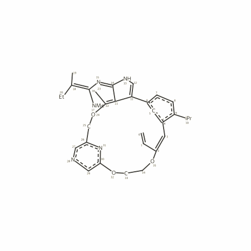 C=C/C1=C\c2cc(ccc2C(C)C)C2=CNC(=N/C(NC)=C(\C)CC)/C2=C(\C)OCc2cncc(n2)OCCO1